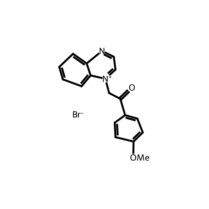 COc1ccc(C(=O)C[n+]2ccnc3ccccc32)cc1.[Br-]